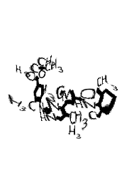 CCc1cccc(CC)c1NC(=O)c1cc(-c2nc(Nc3ccc(C(=O)OC(C)(C)C)cc3C)ncc2C)n(C)c1